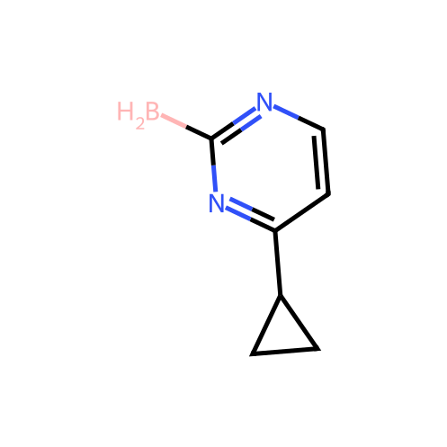 Bc1nccc(C2CC2)n1